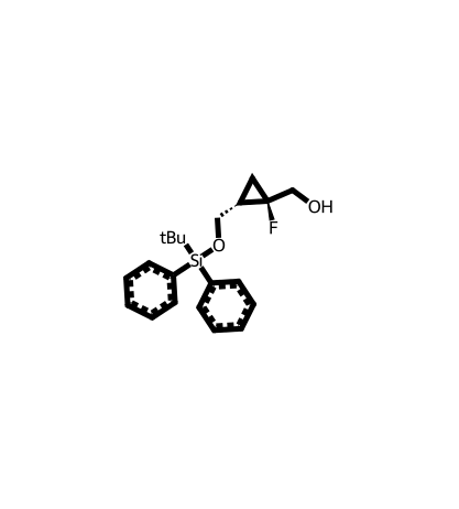 CC(C)(C)[Si](OC[C@@H]1C[C@]1(F)CO)(c1ccccc1)c1ccccc1